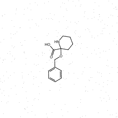 O=C(O)C1(OCc2ccccc2)CCCCN1